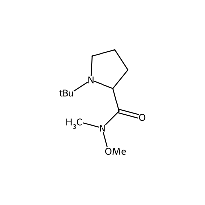 CON(C)C(=O)C1CCCN1C(C)(C)C